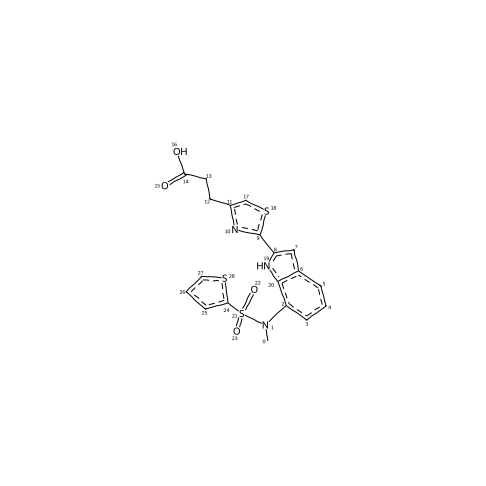 CN(c1cccc2cc(-c3nc(CCC(=O)O)cs3)[nH]c12)S(=O)(=O)c1cccs1